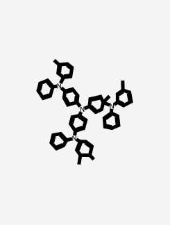 Cc1cccc(N(c2ccccc2)c2ccc(N(C3=CCC(C)(N(c4ccccc4)c4cccc(C)c4)C=C3)c3ccc(N(C4=CC(C)C(C)C=C4)c4ccccc4)cc3)cc2)c1